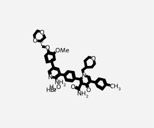 Br.COc1cc(-c2cnc(N)c(-c3ccc(-c4c(C(N)=O)c(=O)c(-c5ccc(C)cc5)cn4CC4CCOCC4)cc3)c2)ccc1OC[C@H]1COCCO1.O